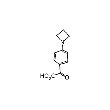 O=C(O)C(=O)c1ccc(N2CCC2)cc1